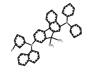 CC1(C)c2cc(N(c3cccc(F)c3)c3cccc4ccccc34)ccc2-c2c1cc(N(c1ccccc1)c1ccccc1)c1ccccc21